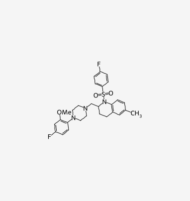 COc1cc(F)ccc1N1CCN(CC2CCc3cc(C)ccc3N2S(=O)(=O)c2ccc(F)cc2)CC1